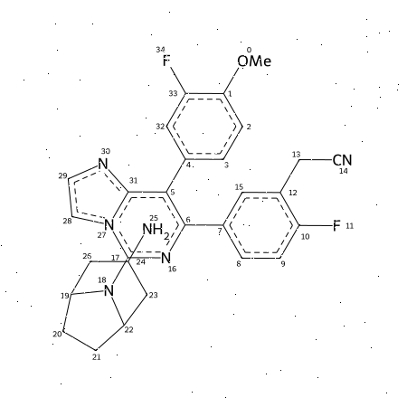 COc1ccc(-c2c(-c3ccc(F)c(CC#N)c3)nc(N3C4CCC3CC(N)C4)n3ccnc23)cc1F